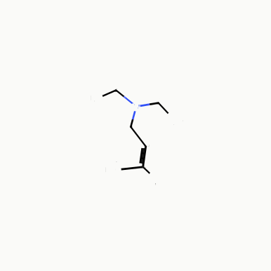 CCN(CC)CC=C(C)C